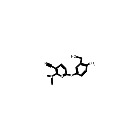 Bc1ccc(Oc2ccc(C#N)c(N(C)C)n2)cc1CO